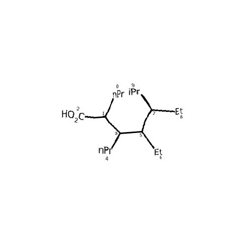 CCCC(C(=O)O)C(CCC)C(CC)C(CC)C(C)C